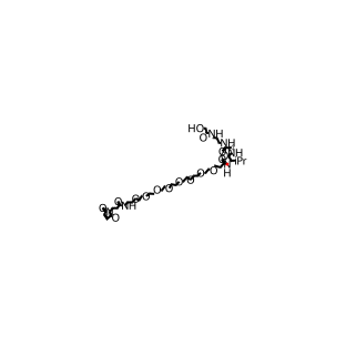 CC(C)C(NC(=O)CCOCCOCCOCCOCCOCCOCCOCCOCCNC(=O)CCN1C(=O)C=CC1=O)C(=O)N[C@@H](C)C(=O)NCCCNC(=O)CO